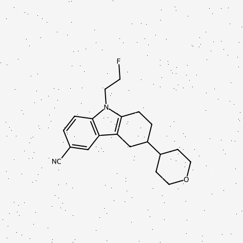 N#Cc1ccc2c(c1)c1c(n2CCF)CCC(C2CCOCC2)C1